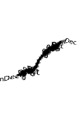 CCCCCCCCCCCCN1C(=O)c2ccc(C(=O)c3ccc4c(c3)C(=O)N(C(CC)(CC)CCCCCCCCCCCCN3C(=O)c5ccc(C(=O)c6ccc7c(c6)C(=O)N(C(CC)(CC)CCCCCCCCCCCC)C7=O)cc5C3=O)C4=O)cc2C1=O